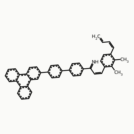 C=C/C=C\c1ccc(/C=C\C(=N)c2ccc(-c3ccc(-c4ccc5c6ccccc6c6ccccc6c5c4)cc3)cc2)c(C)c1C